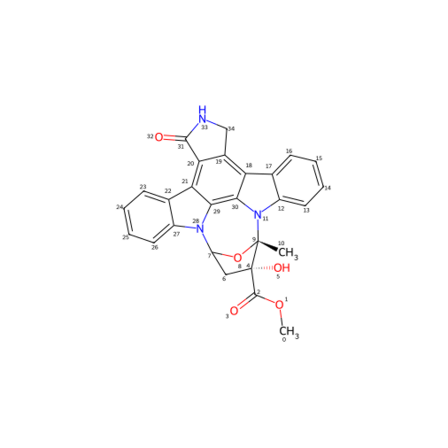 COC(=O)[C@@]1(O)CC2O[C@]1(C)n1c3ccccc3c3c4c(c5c6ccccc6n2c5c31)C(=O)NC4